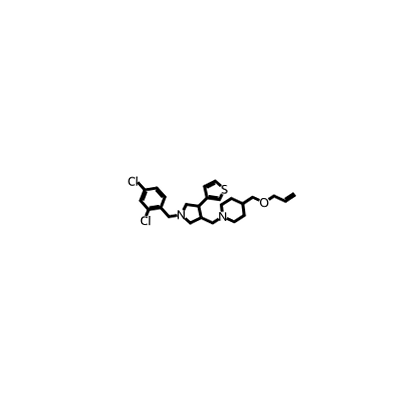 C=CCOCC1CCN(CC2CN(Cc3ccc(Cl)cc3Cl)CC2c2ccsc2)CC1